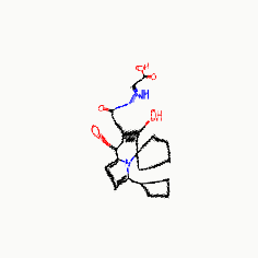 O=C(O)CNC(=O)C1=C(O)C2(CCCC2)n2c(ccc2C2CCC2)C1=O